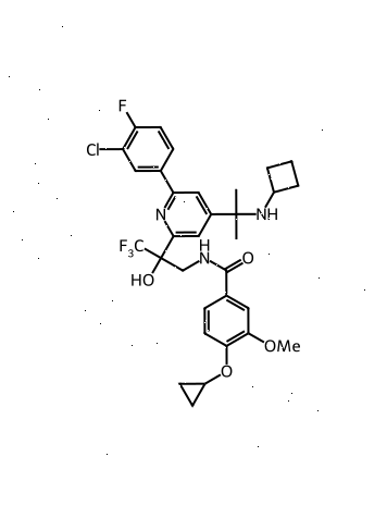 COc1cc(C(=O)NCC(O)(c2cc(C(C)(C)NC3CCC3)cc(-c3ccc(F)c(Cl)c3)n2)C(F)(F)F)ccc1OC1CC1